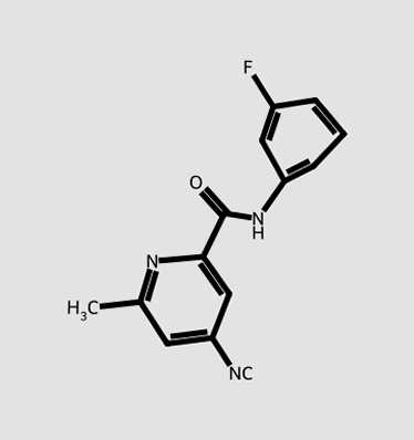 [C-]#[N+]c1cc(C)nc(C(=O)Nc2cccc(F)c2)c1